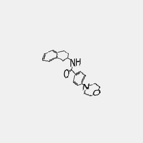 O=C(NC1CCc2ccccc2C1)c1ccc(N2CCOCC2)cc1